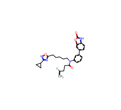 C=C(F)CCC(=O)N(CCCCCc1nc(C2CC2)no1)c1cccc(-c2ccc3[nH]c(=O)oc3c2)c1